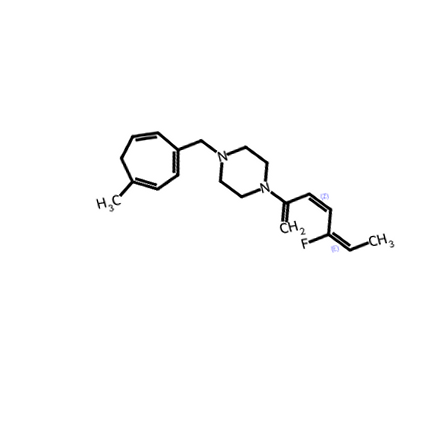 C=C(/C=C\C(F)=C/C)N1CCN(CC2=CC=C(C)CC=C2)CC1